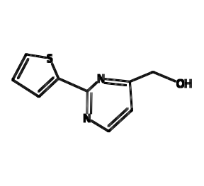 OCc1ccnc(-c2cccs2)n1